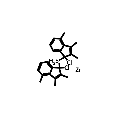 CC1=C(C)C(Cl)([SiH2]C2(Cl)C(C)=C(C)c3c(C)cccc32)c2cccc(C)c21.[Zr]